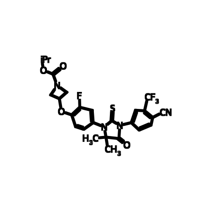 CC(C)OC(=O)N1CC(Oc2ccc(N3C(=S)N(c4ccc(C#N)c(C(F)(F)F)c4)C(=O)C3(C)C)cc2F)C1